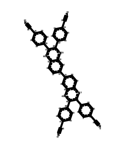 N#Cc1ccc(-c2nc3ccc(-c4ccc5nc(-c6ccc(C#N)cc6)c(-c6ccc(C#N)cc6)nc5c4)cc3nc2-c2ccc(C#N)cc2)cc1